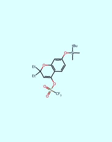 CCC1(CC)C=C(OS(=O)(=O)C(F)(F)F)c2ccc(O[Si](C)(C)C(C)(C)C)cc2O1